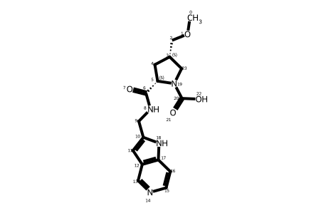 COC[C@H]1C[C@@H](C(=O)NCc2cc3cnccc3[nH]2)N(C(=O)O)C1